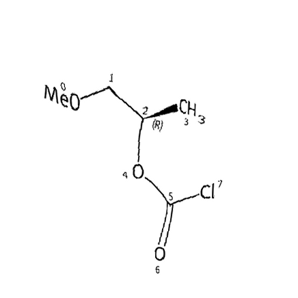 COC[C@@H](C)OC(=O)Cl